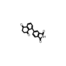 O=C1NC(=O)c2cc(-c3cccc4c3C(=O)CCC4=O)ccc21